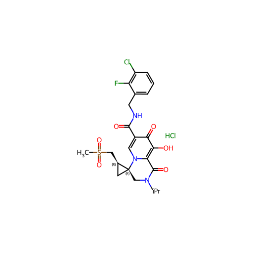 CC(C)N1C[C@]2(C[C@H]2CS(C)(=O)=O)n2cc(C(=O)NCc3cccc(Cl)c3F)c(=O)c(O)c2C1=O.Cl